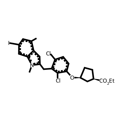 CCOC(=O)[C@@H]1CC[C@H](Oc2ccc(Cl)c(Cc3cc4c(C)cc(I)cc4n3C)c2Cl)C1